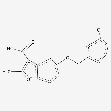 Cc1oc2ccc(OCc3cccc(Cl)c3)cc2c1C(=O)O